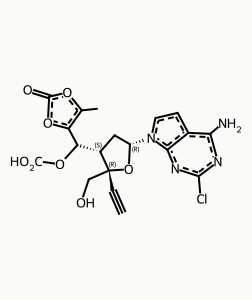 C#C[C@]1(CO)O[C@@H](n2ccc3c(N)nc(Cl)nc32)C[C@H]1C(OC(=O)O)c1oc(=O)oc1C